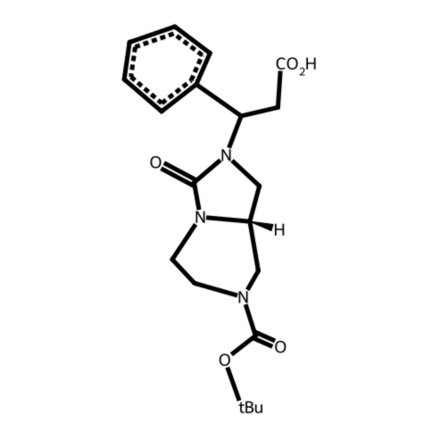 CC(C)(C)OC(=O)N1CCN2C(=O)N(C(CC(=O)O)c3ccccc3)C[C@@H]2C1